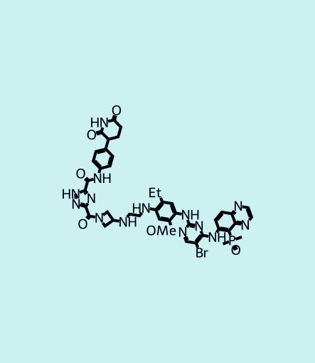 CCc1cc(Nc2ncc(Br)c(Nc3ccc4nccnc4c3P(C)(C)=O)n2)c(OC)cc1NCCNC1CN(C(=O)c2n[nH]c(C(=O)Nc3ccc(C4CCC(=O)NC4=O)cc3)n2)C1